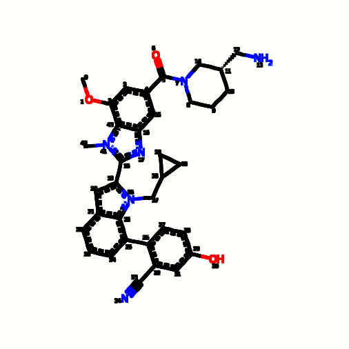 COc1cc(C(=O)N2CCC[C@@H](CN)C2)cc2nc(-c3cc4cccc(-c5ccc(O)cc5C#N)c4n3CC3CC3)n(C)c12